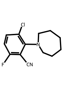 N#Cc1c(F)ccc(Cl)c1N1CCCCCC1